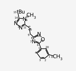 Cc1cccc(-c2nc(CSc3nnc(C(C)(C)C)n3C)no2)c1